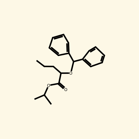 CCCC(OC(c1ccccc1)c1ccccc1)C(=O)OC(C)C